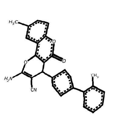 Cc1ccc2oc(=O)c3c(c2c1)OC(N)=C(C#N)C3c1ccc(-c2ccccc2C)cc1